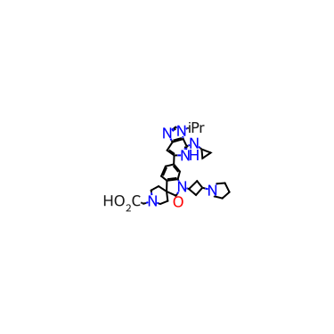 CC(C)n1cnc2cc(-c3ccc4c(c3)N(C3CC(N5CCCCC5)C3)C(=O)C43CCN(CC(=O)O)CC3)nc(NC3CC3)c21